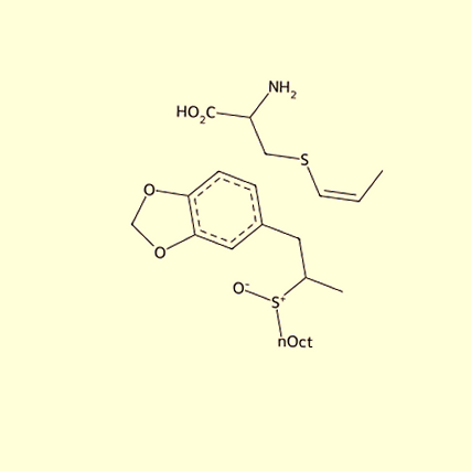 C/C=C\SCC(N)C(=O)O.CCCCCCCC[S+]([O-])C(C)Cc1ccc2c(c1)OCO2